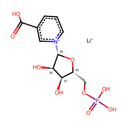 O=C(O)c1ccc[n+]([C@@H]2O[C@H](COP(=O)(O)O)[C@@H](O)[C@H]2O)c1.[Li+]